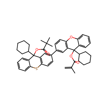 C=C(C)C(=O)OC1(C2CCCCC2)c2ccccc2Oc2ccc(-c3ccc4c(c3)C(OC(=O)C(C)(C)C)(C3CCCCC3)c3ccccc3S4)cc21